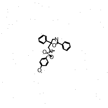 COc1ccc(S(=O)(=O)N(C)CC2(c3ccccc3)CN=C(c3ccccc3)O2)cc1